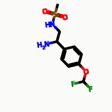 CS(=O)(=O)NCC(N)c1ccc(OC(F)F)cc1